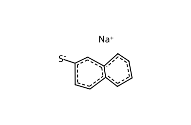 [Na+].[S-]c1ccc2ccccc2c1